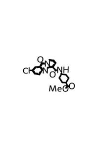 COC(=O)C1CCC(NC(=O)c2cccn3c(=O)c4cc(Cl)ccc4nc23)CC1